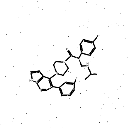 CC(C)NC[C@@H](C(=O)N1CCN(c2c(-c3cccc(F)c3)cnc3[nH]ncc23)CC1)c1ccc(Cl)cc1